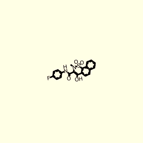 CN1C(C(=O)Nc2ccc(F)cc2)=C(O)c2ccc3ccccc3c2S1(=O)=O